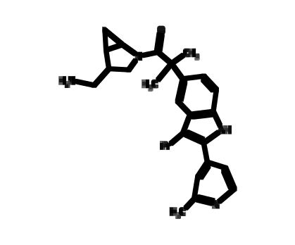 Cc1cc(-c2[nH]c3ccc(C(C)(C)C(=O)N4CC(CN)C5CC54)cc3c2C(C)C)ccn1